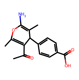 CC(=O)C1=C(C)OC(N)=C(C)C1c1ccc(C(=O)O)cc1